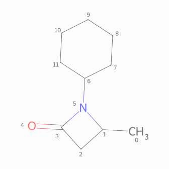 CC1CC(=O)N1C1CCCCC1